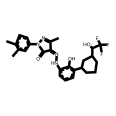 CC1=NN(c2ccc(C)c(C)c2)C(=O)C1=NNc1cccc(C2CCCC(C(O)C(F)(F)F)C2)c1O